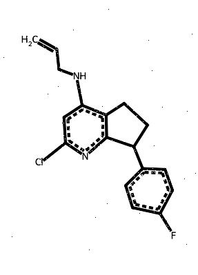 C=CCNc1cc(Cl)nc2c1CCC2c1ccc(F)cc1